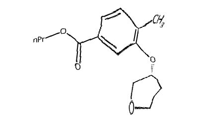 CCCOC(=O)c1ccc(C)c(O[C@@H]2CCOC2)c1